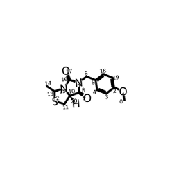 COc1ccc(CN2C(=O)[C@@H]3CSC(C)N3C2=O)cc1